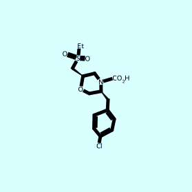 CCS(=O)(=O)C[C@H]1CN(C(=O)O)[C@@H](Cc2ccc(Cl)cc2)CO1